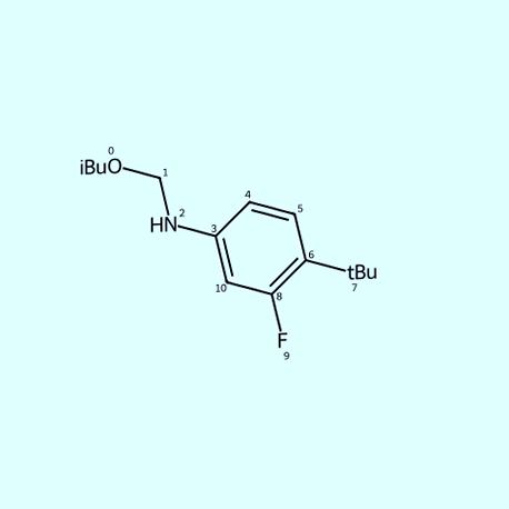 CC(C)COCNc1ccc(C(C)(C)C)c(F)c1